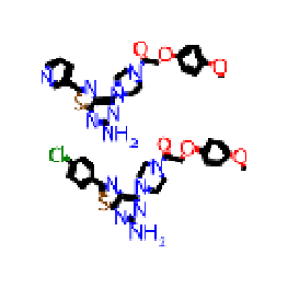 COc1ccc(OCC(=O)N2CCN(c3nc(N)nc4sc(-c5ccc(Cl)cc5)nc34)CC2)cc1.COc1ccc(OCC(=O)N2CCN(c3nc(N)nc4sc(-c5cccnc5)nc34)CC2)cc1